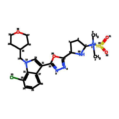 C[N+](C)([C@@H]1CCC(c2nnc(-c3cn(CC4CCOCC4)c4c(Cl)cccc34)o2)N1)[SH](=O)=O